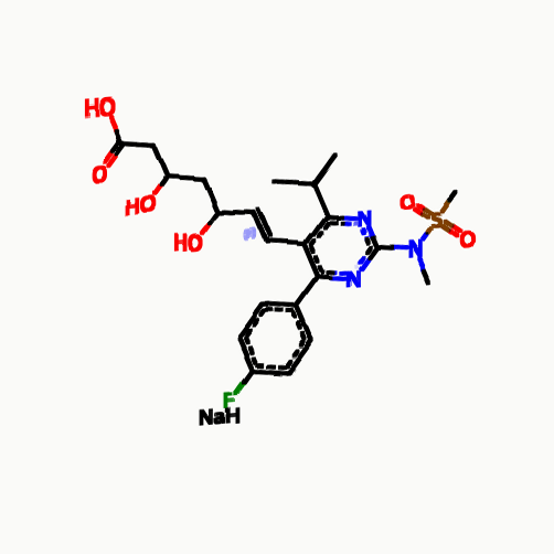 CC(C)c1nc(N(C)S(C)(=O)=O)nc(-c2ccc(F)cc2)c1/C=C/C(O)CC(O)CC(=O)O.[NaH]